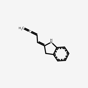 C=C=C/C=C1/Cc2ccccc2N1